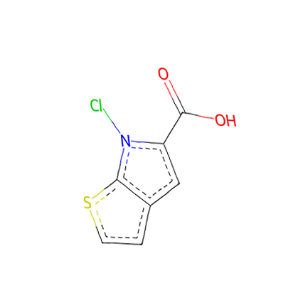 O=C(O)c1cc2ccsc2n1Cl